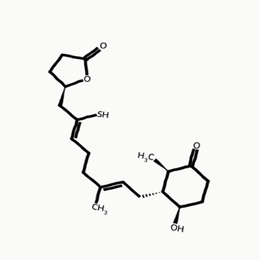 C/C(=C\C[C@H]1[C@H](O)CCC(=O)[C@@H]1C)CC/C=C(\S)C[C@H]1CCC(=O)O1